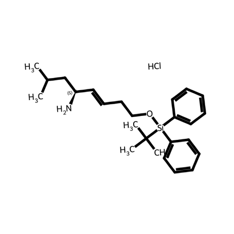 CC(C)C[C@H](N)C=CCCO[Si](c1ccccc1)(c1ccccc1)C(C)(C)C.Cl